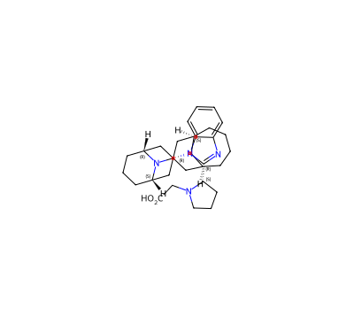 O=C(O)CN1CCC[C@H]1c1nc2ccccc2n1[C@H]1C[C@H]2CCC[C@@H](C1)N2C1C[C@H]2CCCC[C@@H](C1)C2